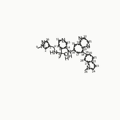 Cn1cc(CNC(C)(O)c2ccncc2Nc2cc(-c3ccc4ccn(C)c4c3)c3nccnc3c2)cn1